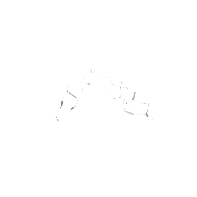 O=c1ccn([C@@H]2O[C@H](CO[P]3(O)OCc4cc([N+](=O)[O-])ccc4O3)[C@@H](O)[C@]2(F)Cl)c(=O)[nH]1